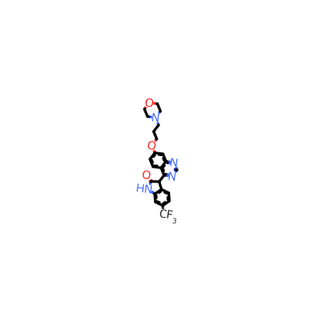 O=C1Nc2cc(C(F)(F)F)ccc2C1c1ncnc2cc(OCCCN3CCOCC3)ccc12